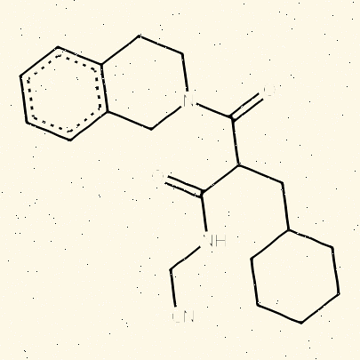 N#CCNC(=O)C(CC1CCCCC1)C(=O)N1CCc2ccccc2C1